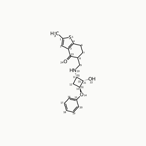 Cc1cc2c(s1)CCC(CN[C@H]1C[C@H](Oc3ccccc3)[C@H]1O)C2=O